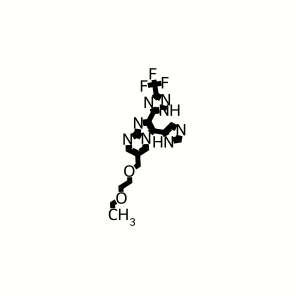 CCOCCOCc1cnc2nc(-c3nc(C(F)(F)F)n[nH]3)c(-c3cnc[nH]3)n2c1